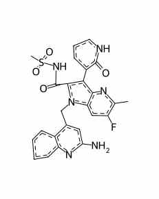 Cc1nc2c(-c3ccc[nH]c3=O)c(C(=O)NS(C)(=O)=O)n(Cc3cc(N)nc4ccccc34)c2cc1F